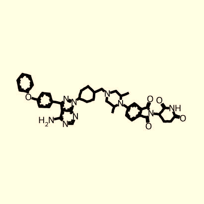 CC1CN(CC2CCC(n3nc(-c4ccc(Oc5ccccc5)cc4)c4c(N)ncnc43)CC2)CC(C)N1c1ccc2c(c1)C(=O)N(C1CCC(=O)NC1=O)C2=O